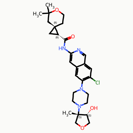 CC1(C)C[C@]2(CCO1)C[C@H]2C(=O)Nc1cc2cc(N3CCN([C@@]4(C)COC[C@H]4O)CC3)c(Cl)cc2cn1